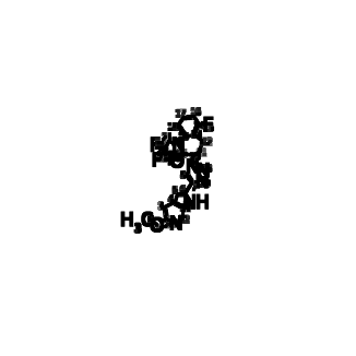 COc1cc2cc(-c3cn(C4CCc5c(F)cccc5N(CC(F)(F)F)C4=O)nn3)[nH]c2cn1